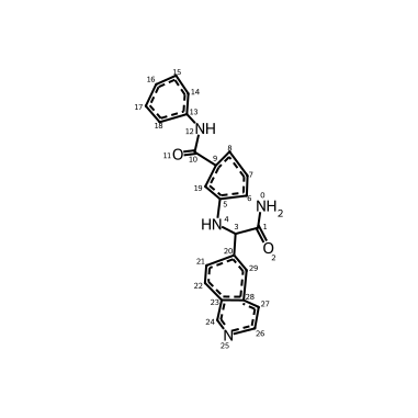 NC(=O)C(Nc1cccc(C(=O)Nc2ccccc2)c1)c1ccc2cnccc2c1